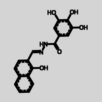 O=C(NN=Cc1ccc2ccccc2c1O)c1cc(O)c(O)c(O)c1